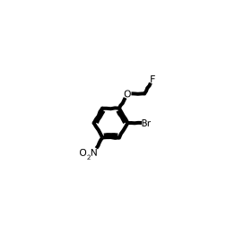 O=[N+]([O-])c1ccc(OCF)c(Br)c1